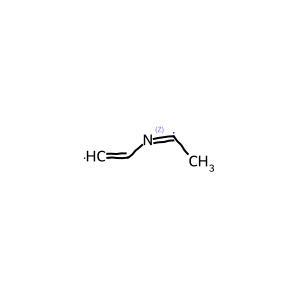 [CH]=C/N=[C]\C